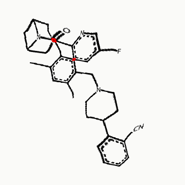 Cc1cc(C)c(C(=O)N2C3CC2CN(c2ccc(F)cn2)C3)cc1CN1CCC(c2ccccc2C#N)CC1